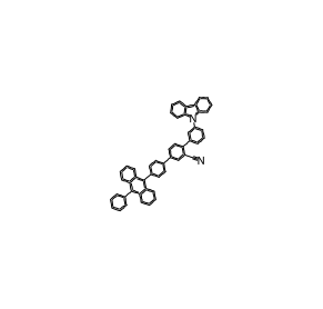 N#Cc1cc(-c2ccc(-c3c4ccccc4c(-c4ccccc4)c4ccccc34)cc2)ccc1-c1cccc(-n2c3ccccc3c3ccccc32)c1